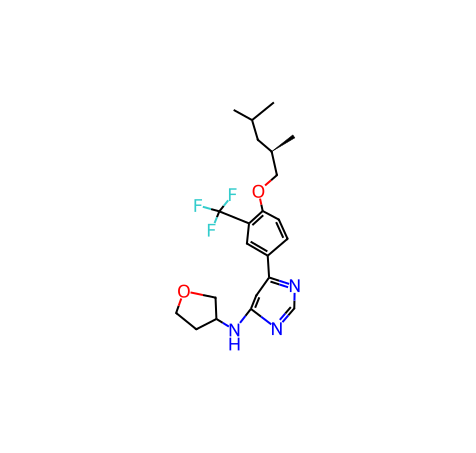 CC(C)C[C@@H](C)COc1ccc(-c2cc(NC3CCOC3)ncn2)cc1C(F)(F)F